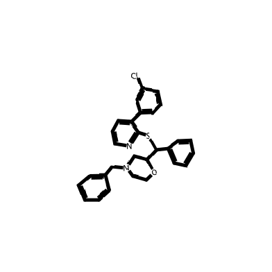 Clc1cccc(-c2cccnc2SC(c2ccccc2)C2CN(Cc3ccccc3)CCO2)c1